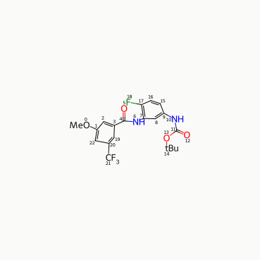 COc1cc(C(=O)Nc2cc(NC(=O)OC(C)(C)C)ccc2F)cc(C(F)(F)F)c1